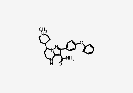 CN1CCC([C@@H]2CCNc3c(C(N)=O)c(-c4ccc(Oc5ccccc5)cc4)nn32)CC1